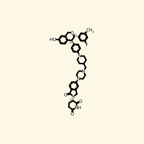 Cc1cc(F)cc([C@H]2OCc3cc(O)ccc3[C@@H]2c2ccc(N3CCC(CN4CCN(c5ccc6c(c5)CN([C@H]5CCC(=O)NC5=O)C6=O)CC4)CC3)cc2)c1